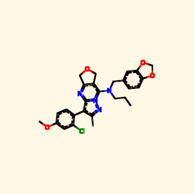 CCCN(Cc1ccc2c(c1)OCO2)c1c2c(nc3c(-c4ccc(OC)cc4Cl)c(C)nn13)COC2